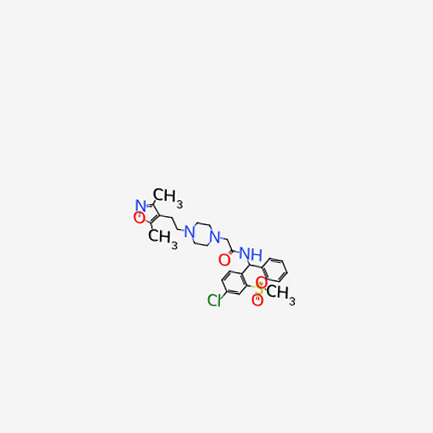 Cc1noc(C)c1CCN1CCN(CC(=O)NC(c2ccccc2)c2ccc(Cl)cc2S(C)(=O)=O)CC1